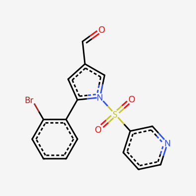 O=Cc1cc(-c2ccccc2Br)n(S(=O)(=O)c2cccnc2)c1